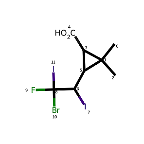 CC1(C)C(C(=O)O)C1C(I)C(F)(Br)I